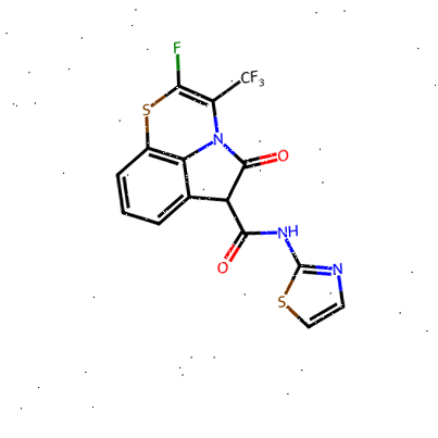 O=C(Nc1nccs1)C1C(=O)N2C(C(F)(F)F)=C(F)Sc3cccc1c32